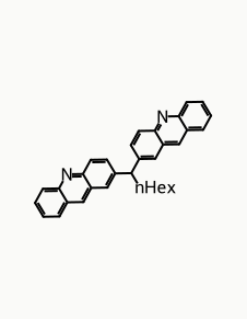 CCCCCCC(c1ccc2nc3ccccc3cc2c1)c1ccc2nc3ccccc3cc2c1